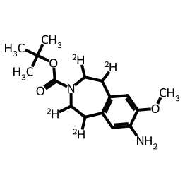 [2H]C1c2cc(N)c(OC)cc2C([2H])C([2H])N(C(=O)OC(C)(C)C)C1[2H]